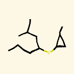 CCCC(CC(C)C)SC1CC1C